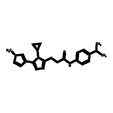 CC(C)c1ccc(NC(=O)CSc2nnc(-c3cnn(C)c3)n2C2CC2)cc1